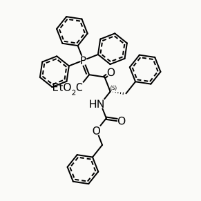 CCOC(=O)C(C(=O)[C@H](Cc1ccccc1)NC(=O)OCc1ccccc1)=P(c1ccccc1)(c1ccccc1)c1ccccc1